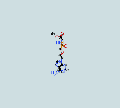 CC(C)OC(=O)CN[PH](=O)COCCn1cnc2c(N)ncnc21